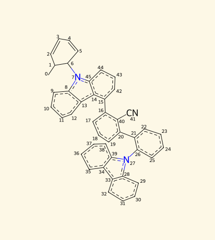 CC1C=CC=CC1n1c2ccccc2c2c(-c3cccc(-c4ccccc4-n4c5ccccc5c5ccccc54)c3C#N)cccc21